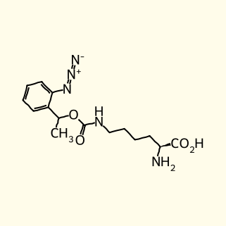 CC(OC(=O)NCCCC[C@H](N)C(=O)O)c1ccccc1N=[N+]=[N-]